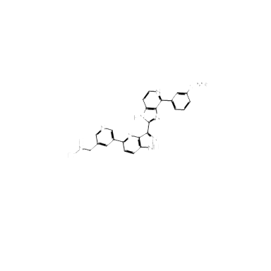 CCNCc1cncc(-c2ccc3[nH]nc(-c4nc5c(-c6cccc(OC)c6)nccc5[nH]4)c3n2)c1